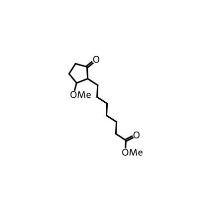 COC(=O)CCCCCCC1C(=O)CCC1OC